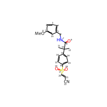 COc1cccc(CNC(=O)C(C)(C)c2ccc(S(=O)(=O)C=CC#N)cc2)c1